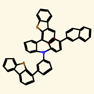 c1cc(-c2cccc3c2sc2ccccc23)cc(N(c2ccc(-c3ccc4ccccc4c3)cc2)c2ccccc2-c2cccc3c2sc2ccccc23)c1